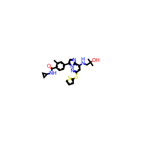 Cc1cc(-c2cnc3c(NCC(C)(C)O)cc(Sc4cccs4)nn23)ccc1C(=O)NC1CC1